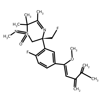 C=C(C)C(=C)/C=C(\OC)c1ccc(F)c([C@]2(CF)CS(=O)(=NC)C(C)(C)C(C)=N2)c1